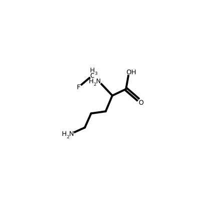 CF.NCCCC(N)C(=O)O